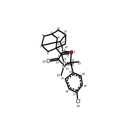 COC(=O)C12CC3CC(C1)C(N1CC(C)(c4ccc(Cl)cc4)N(C)C1=O)C(C3)C2